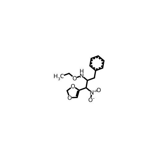 CCONC(Cc1ccccc1)C(C1=COCO1)[N+](=O)[O-]